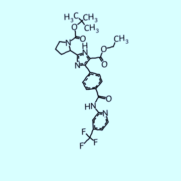 CCOC(=O)c1[nH]c(C2CCCN2C(=O)OC(C)(C)C)nc1-c1ccc(C(=O)Nc2cc(C(F)(F)F)ccn2)cc1